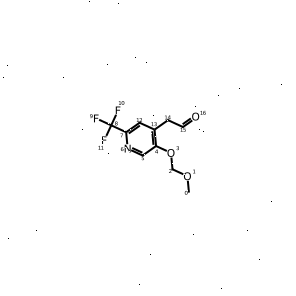 COCOc1cnc(C(F)(F)F)cc1CC=O